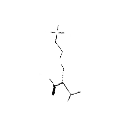 CC(C)C(COCC[Si](C)(C)C)C(=O)O